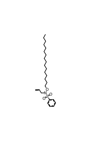 C=CCN(OCCCCCCCCCCCCCCCC)S(=O)(=O)c1ccccc1